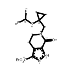 CCOC(=O)c1n[nH]c2c1CCN(CC1(SC(F)F)CC1)C2=O